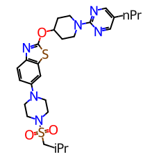 CCCc1cnc(N2CCC(Oc3nc4ccc(N5CCN(S(=O)(=O)CC(C)C)CC5)cc4s3)CC2)nc1